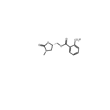 CN1C[C@@H](COC(=O)c2ccccc2C(=O)O)OC1=O